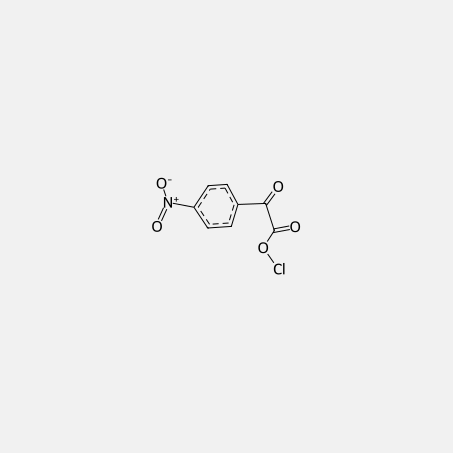 O=C(OCl)C(=O)c1ccc([N+](=O)[O-])cc1